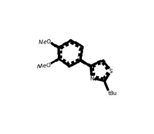 COc1ccc(-c2csc(C(C)(C)C)n2)cc1OC